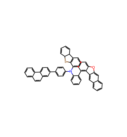 C1=CC2Sc3c(cccc3N(c3ccc(-c4ccc5c(ccc6ccccc65)c4)cc3)c3ccccc3-c3cccc4oc5cc6ccccc6cc5c34)C2C=C1